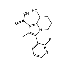 Cc1c(C(=O)O)c2n(c1-c1cccnc1F)CCCC2O